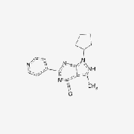 Cc1[nH]n(C2CCCC2)c2nc(-c3ccncc3)nc(=O)c1-2